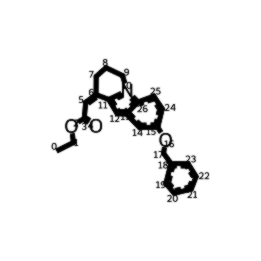 CCOC(=O)/C=C1/CCCn2c1cc1cc(OCc3ccccc3)ccc12